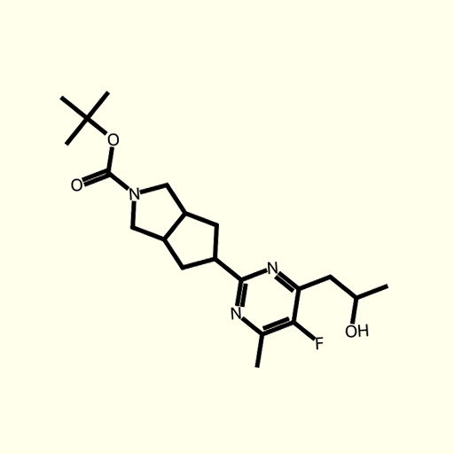 Cc1nc(C2CC3CN(C(=O)OC(C)(C)C)CC3C2)nc(CC(C)O)c1F